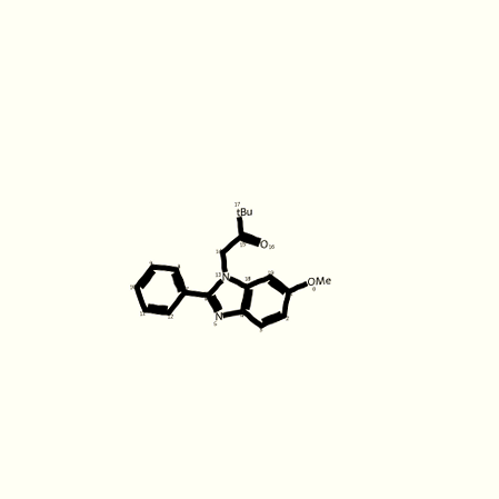 COc1ccc2nc(-c3ccccc3)n(CC(=O)C(C)(C)C)c2c1